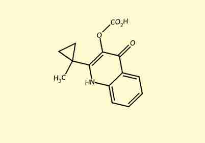 CC1(c2[nH]c3ccccc3c(=O)c2OC(=O)O)CC1